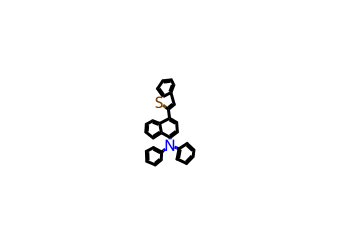 c1ccc(N(c2ccccc2)c2ccc(-c3cc4ccccc4s3)c3ccccc23)cc1